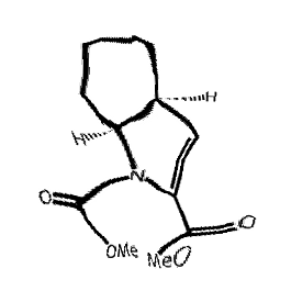 COC(=O)C1=C[C@@H]2CCCC[C@@H]2N1C(=O)OC